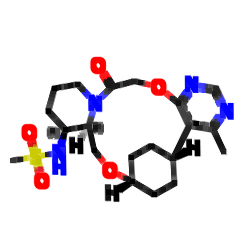 Cc1ncnc2c1[C@H]1CC[C@H](CC1)OC[C@H]1[C@@H](NS(C)(=O)=O)CCCN1C(=O)CO2